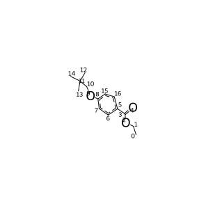 CCOC(=O)c1ccc(OCC(C)(C)C)cc1